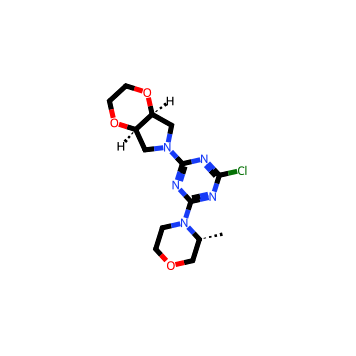 C[C@@H]1COCCN1c1nc(Cl)nc(N2C[C@@H]3OCCO[C@@H]3C2)n1